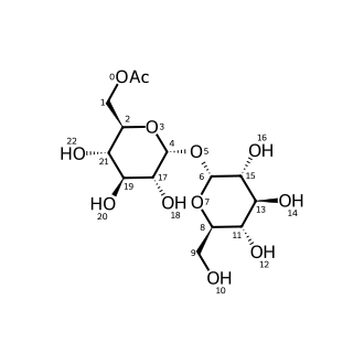 CC(=O)OC[C@H]1O[C@H](O[C@H]2O[C@H](CO)[C@@H](O)[C@H](O)[C@H]2O)[C@H](O)[C@@H](O)[C@@H]1O